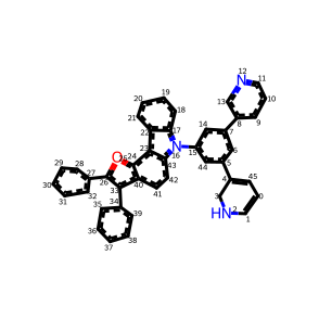 C1=CNCC(c2cc(-c3cccnc3)cc(-n3c4ccccc4c4c5oc(-c6ccccc6)c(-c6ccccc6)c5ccc43)c2)=C1